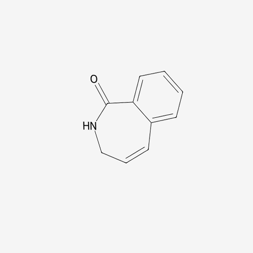 O=C1NCC=Cc2ccccc21